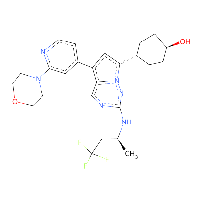 C[C@@H](CC(F)(F)F)Nc1ncc2c(-c3ccnc(N4CCOCC4)c3)cc([C@H]3CC[C@H](O)CC3)n2n1